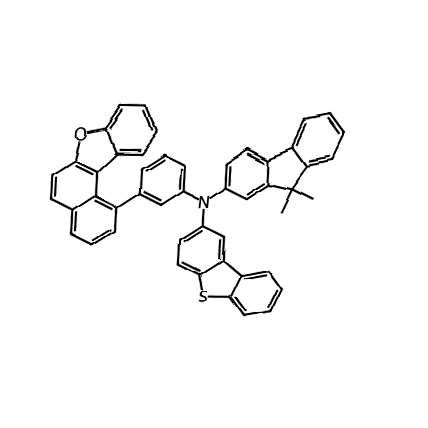 CC1(C)c2ccccc2-c2ccc(N(c3cccc(-c4cccc5ccc6oc7ccccc7c6c45)c3)c3ccc4sc5ccccc5c4c3)cc21